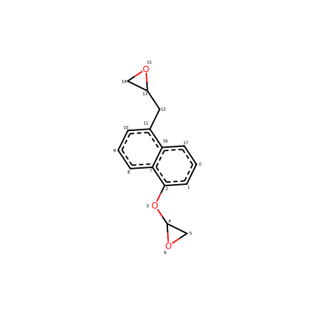 c1cc(OC2CO2)c2cccc(CC3CO3)c2c1